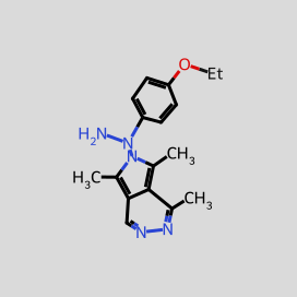 CCOc1ccc(N(N)n2c(C)c3cnnc(C)c3c2C)cc1